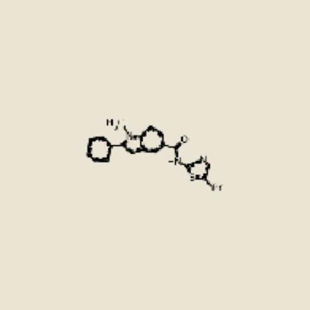 CC(C)c1cnc(NC(=O)c2ccc3c(c2)cc(-c2ccccc2)n3C)s1